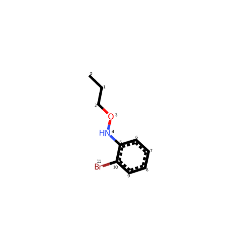 CCCONc1ccccc1Br